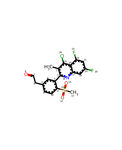 Cc1c(-c2cc(CC=O)ccc2S(C)(=O)=O)nc2cc(F)cc(F)c2c1Cl